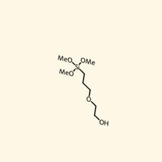 CO[Si](CCCOCCO)(OC)OC